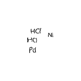 Cl.Cl.[Ni].[Pd]